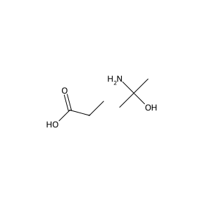 CC(C)(N)O.CCC(=O)O